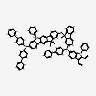 C=Cc1c(C=C)n(-c2ccccc2)c2cc(N(c3ccc(-c4ccccc4)cc3)c3ccc4c(c3)C(C)(Cc3ccc5c(c3)C(C)(C)c3cc6c7ccc(N(c8ccc(-c9ccccc9)cc8)c8ccc(-c9ccccc9)cc8)cc7n(-c7ccccc7)c6cc3-5)c3ccccc3-4)ccc12